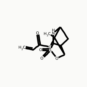 C=CC(=O)OC1(C)C2CC3C1OS(=O)(=O)C3N2